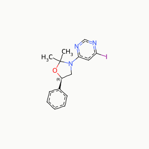 CC1(C)O[C@H](c2ccccc2)CN1c1cc(I)ncn1